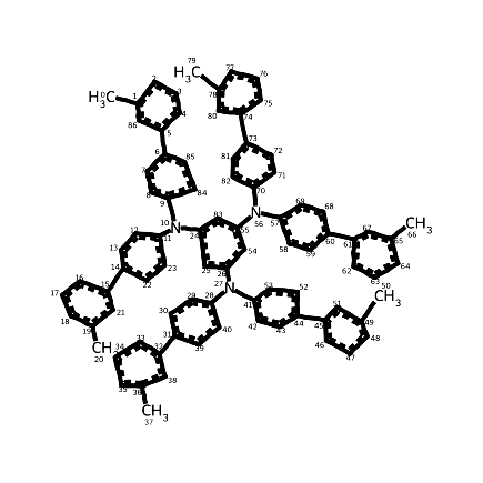 Cc1cccc(-c2ccc(N(c3ccc(-c4cccc(C)c4)cc3)c3cc(N(c4ccc(-c5cccc(C)c5)cc4)c4ccc(-c5cccc(C)c5)cc4)cc(N(c4ccc(-c5cccc(C)c5)cc4)c4ccc(-c5cccc(C)c5)cc4)c3)cc2)c1